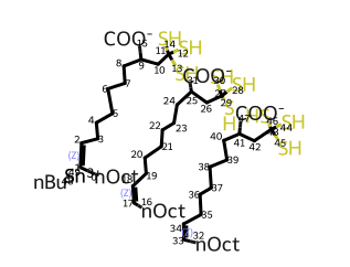 CCCCCCCC/C=C\CCCCCCC(CC(S)(S)S)C(=O)[O-].CCCCCCCC/C=C\CCCCCCC(CC(S)(S)S)C(=O)[O-].CCCCCCCC/C=C\CCCCCCC(CC(S)(S)S)C(=O)[O-].CCC[CH2][Sn+3]